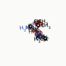 COc1cc(C[C@H](NC(=O)c2cccc(N)c2Cl)[C@H](O)C(=O)N2CSC(C)(C)[C@H]2C(=O)NCc2ccccc2C)cc(OC)c1OC